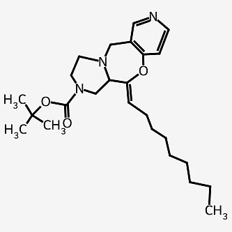 CCCCCCCCC=C1Oc2ccncc2CN2CCN(C(=O)OC(C)(C)C)CC12